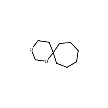 C1CCCC2(CC1)CCOCO2